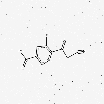 N#CCC(=O)c1ccc([N+](=O)[O-])cc1F